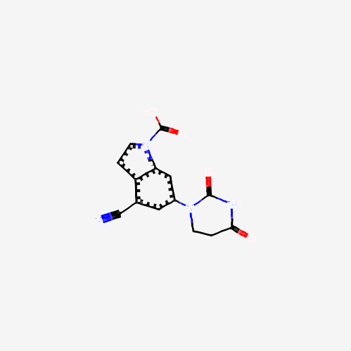 N#Cc1cc(N2CCC(=O)NC2=O)cc2c1ccn2C(=O)O